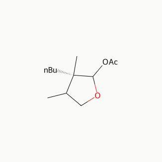 CCCC[C@@]1(C)C(C)COC1OC(C)=O